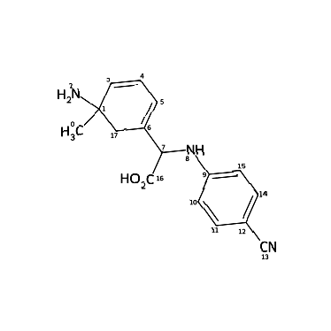 CC1(N)C=CC=C(C(Nc2ccc(C#N)cc2)C(=O)O)C1